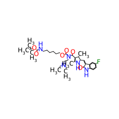 CCN(CC)CCN(C(=O)OCCCCCCNC(=O)OC(C)(C)C)C(=O)C1=C(C)NC(/C=C2\C(=O)Nc3ccc(F)cc32)C1C